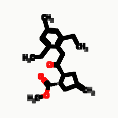 C=C1C[C@H](C(=O)Cc2c(CC)cc(C)cc2CC)[C@@H](C(=O)OC)C1